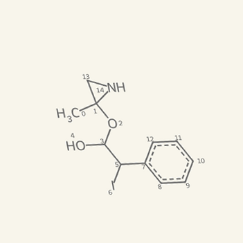 CC1(OC(O)C(I)c2ccccc2)CN1